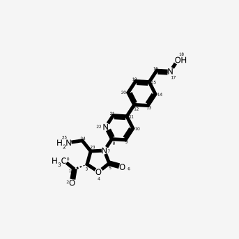 CC(=O)[C@H]1OC(=O)N(c2ccc(-c3ccc(C=NO)cc3)cn2)C1CN